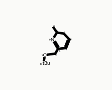 CC1CC=CC(COC(C)(C)C)=N1